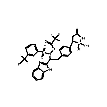 O=C1CC(c2ccc(CC(c3nc4ccccc4[nH]3)N(OC(=O)C(F)(F)F)S(=O)(=O)c3cccc(C(F)(F)F)c3)cc2)S(O)(O)N1